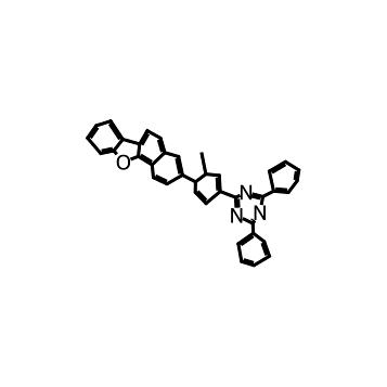 CC1C=C(c2nc(-c3ccccc3)nc(-c3ccccc3)n2)C=CC1c1ccc2c(ccc3c4ccccc4oc23)c1